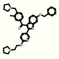 Cc1cc(C(=O)c2c(-c3ccc(OCCN4CCCC4)nc3)sc3cc(OCc4ccccc4)ccc23)ccc1CN1CCCC1